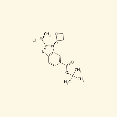 C[C@H](Cl)c1nc2ccc(C(=O)OC(C)(C)C)cc2n1[C@@H]1CCO1